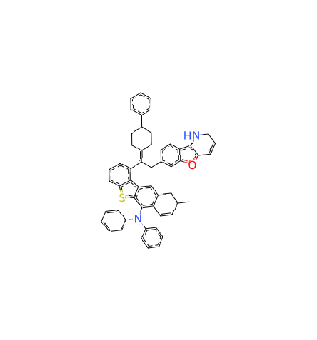 CC1C=Cc2c(cc3c(sc4cccc(C(Cc5ccc6c7c(oc6c5)C=CCN7)=C5CCC(c6ccccc6)CC5)c43)c2N(c2ccccc2)[C@H]2C=CC=CC2)C1